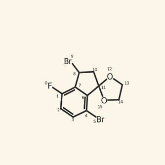 Fc1ccc(Br)c2c1C(Br)CC21OCCO1